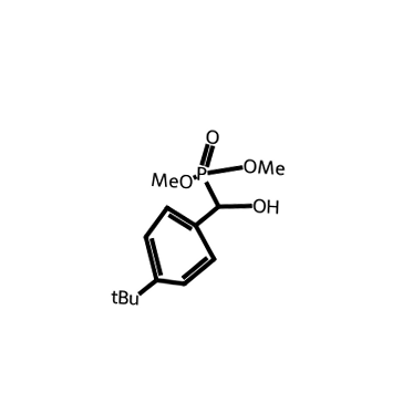 COP(=O)(OC)C(O)c1ccc(C(C)(C)C)cc1